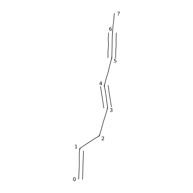 C=CCC#CC#CC